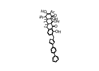 CC(=O)C1=C(O)C(C(C)C)[C@@]2(C)[C@H](C)[C@]3(C)C(=C(O)[C@@]2(O)C1=O)C(=O)c1c(ccc(CC2=CC(c4ccc(-c5ccccc5)cc4)=CC2)c1O)[C@H]3C